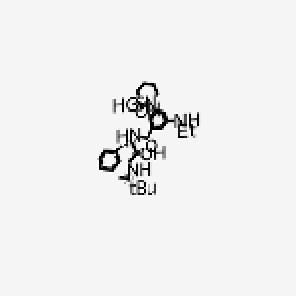 CCNc1cc(C(=O)N[C@@H](Cc2ccccc2)[C@H](O)CN[C@@H](C)C(C)(C)C)cc(N2CCCCS2(O)O)c1